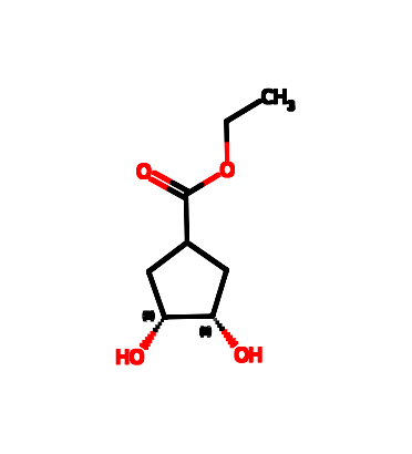 CCOC(=O)C1C[C@@H](O)[C@@H](O)C1